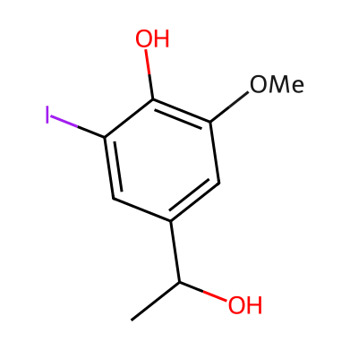 COc1cc(C(C)O)cc(I)c1O